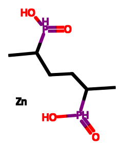 CC(CCC(C)[PH](=O)O)[PH](=O)O.[Zn]